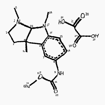 CN1CCC2(C)c3cc(NC(=O)OC(C)(C)C)ccc3N(C)C12.O=C(O)C(=O)O